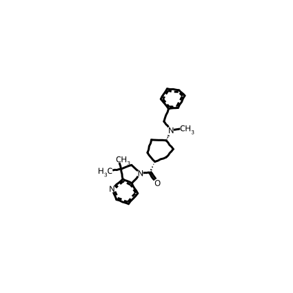 CN(Cc1ccccc1)[C@H]1CC[C@@H](C(=O)N2CC(C)(C)c3ncccc32)CC1